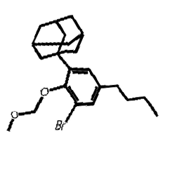 CCCCc1cc(Br)c(OCOC)c(C23CC4CC(CC(C4)C2)C3)c1